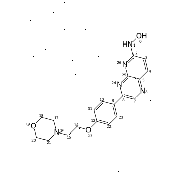 ONc1ccc2ncc(-c3ccc(OCCN4CCOCC4)cc3)nc2n1